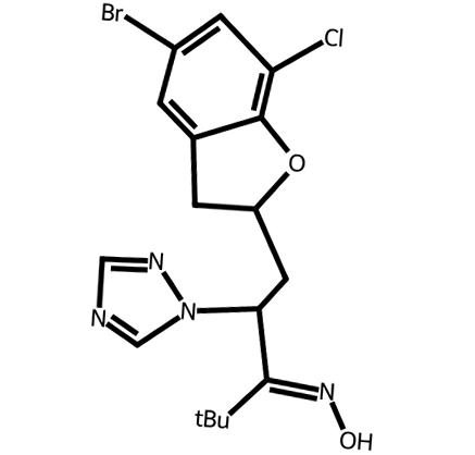 CC(C)(C)C(=NO)C(CC1Cc2cc(Br)cc(Cl)c2O1)n1cncn1